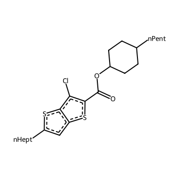 CCCCCCCc1cc2sc(C(=O)OC3CCC(CCCCC)CC3)c(Cl)c2s1